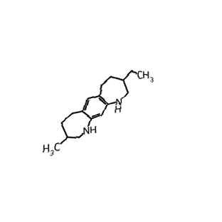 CCC1CCc2cc3c(cc2NC1)NCC(C)CC3